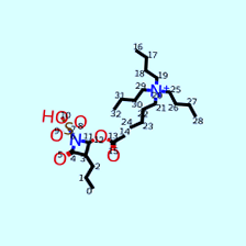 CCCC1C(=O)N(S(=O)(=O)O)C1OC(C)=O.CCCC[N+](CCCC)(CCCC)CCCC